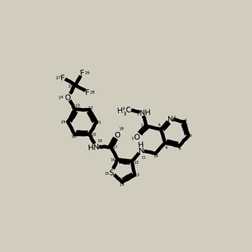 CNC(=O)c1ncccc1CNc1ccsc1C(=O)Nc1ccc(OC(F)(F)F)cc1